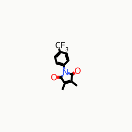 CC1=C(C)C(=O)N(c2ccc(C(F)(F)F)cc2)C1=O